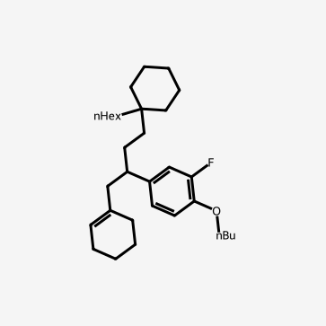 CCCCCCC1(CCC(CC2=CCCCC2)c2ccc(OCCCC)c(F)c2)CCCCC1